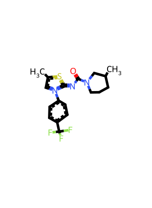 Cc1cn(-c2ccc(C(F)(F)F)cc2)c(=NC(=O)N2CCCC(C)C2)s1